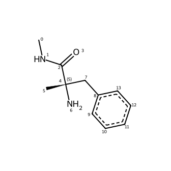 CNC(=O)[C@@](C)(N)Cc1ccccc1